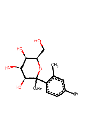 COC1(c2ccc(C(C)C)cc2C)O[C@H](CO)[C@H](O)[C@H](O)[C@@H]1O